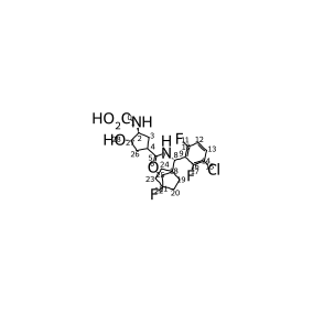 O=C(O)N[C@H]1CC(C(=O)N[C@H](c2c(F)ccc(Cl)c2F)C23CCC(F)(CC2)C3)C[C@@H]1O